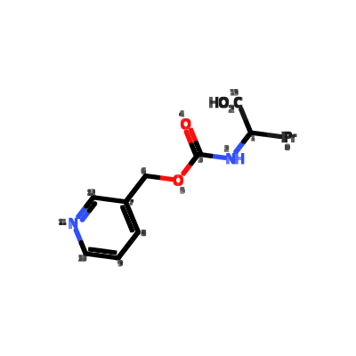 CC(C)C(NC(=O)OCc1cccnc1)C(=O)O